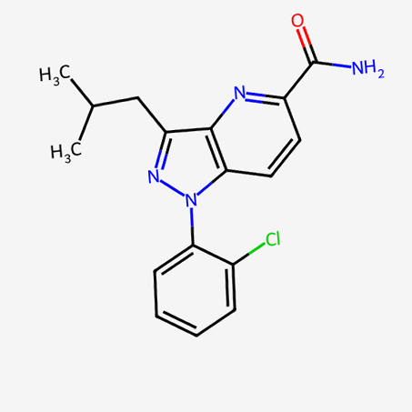 CC(C)Cc1nn(-c2ccccc2Cl)c2ccc(C(N)=O)nc12